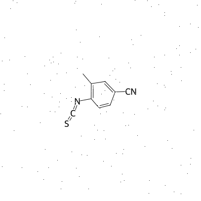 Cc1cc(C#N)ccc1N=C=S